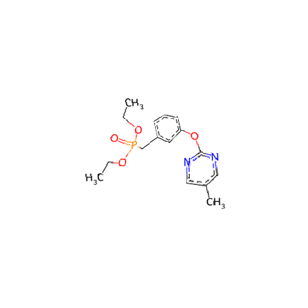 CCOP(=O)(Cc1cccc(Oc2ncc(C)cn2)c1)OCC